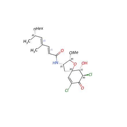 CCCCCC[C@@H](C)/C=C(C)/C=C/C(=O)N[C@H]1C[C@]2(C=C(Cl)C(=O)[C@H](Cl)[C@H]2O)O[C@H]1OC